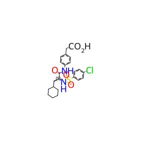 O=C(O)Cc1ccc(NC(=O)[C@H](CC2CCCCC2)NS(=O)(=O)c2ccc(Cl)cc2)cc1